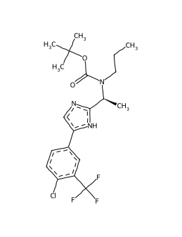 CCCN(C(=O)OC(C)(C)C)[C@@H](C)c1ncc(-c2ccc(Cl)c(C(F)(F)F)c2)[nH]1